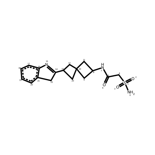 NS(=O)(=O)CC(=O)NC1CC2(C1)CC(C1=Nc3ccccc3C1)C2